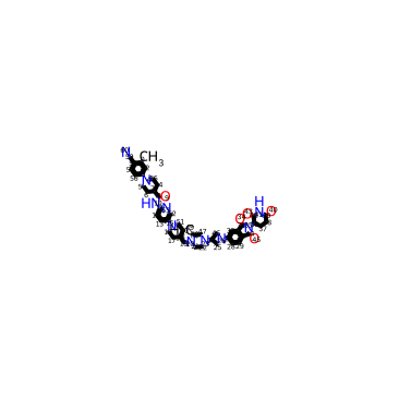 Cc1cc(N2CCC(C(=O)Nc3ccc(N4CCC(CN5CCN(C6CN(c7ccc8c(c7)C(=O)N(C7CCC(=O)NC7=O)C8=O)C6)C[C@H]5C)CC4)cn3)CC2)ccc1C#N